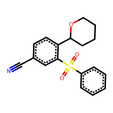 N#Cc1ccc(C2CCCCO2)c(S(=O)(=O)c2ccccc2)c1